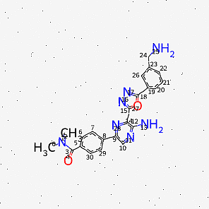 CN(C)C(=O)c1ccc(-c2cnc(N)c(-c3nnc(-c4cccc(CN)c4)o3)n2)cc1